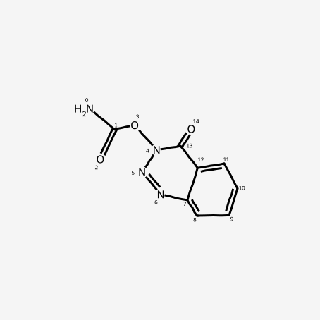 NC(=O)On1nnc2ccccc2c1=O